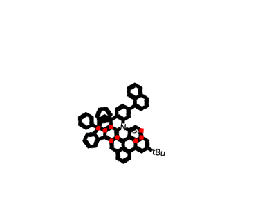 CC(C)(C)c1cc(-c2cccc3cccc(-c4ccccc4N(c4ccc5c(c4)C(c4ccccc4)(c4ccccc4)c4ccccc4-5)c4cc(-c5cccc6ccccc56)ccc4-c4ccccc4)c23)cc(C(C)(C)C)c1